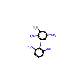 Nc1ccc(N)c([N+](=O)[O-])c1.Nc1cccc(N)c1I